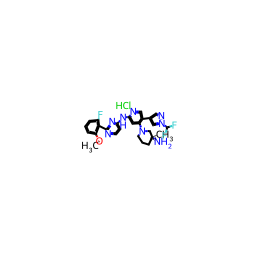 COc1cccc(F)c1-c1nccc(Nc2cc(N3CCC[C@](C)(N)C3)c(-c3cnn(C(F)F)c3)cn2)n1.Cl